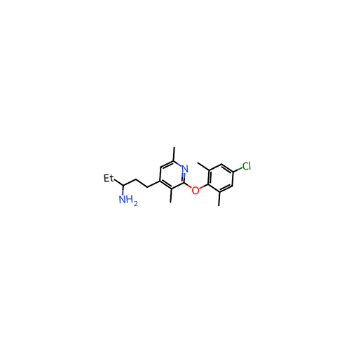 CCC(N)CCc1cc(C)nc(Oc2c(C)cc(Cl)cc2C)c1C